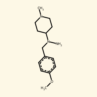 COc1ccc(CN(N)C2CCN(C)CC2)cc1